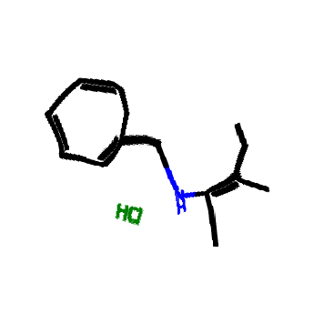 CC(C)=C(C)NCc1ccccc1.Cl